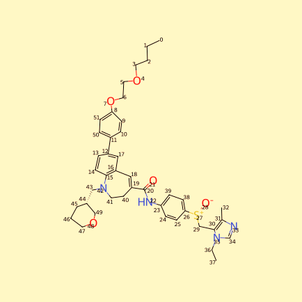 CCCCOCCOc1ccc(-c2ccc3c(c2)C=C(C(=O)Nc2ccc([S@+]([O-])Cc4c(C)ncn4CC)cc2)CCN3C[C@H]2CCCOC2)cc1